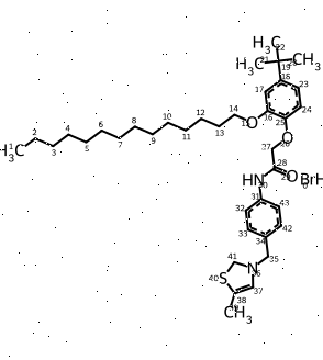 Br.CCCCCCCCCCCCCCOc1cc(C(C)(C)C)ccc1OCC(=O)Nc1ccc(CN2C=C(C)SC2)cc1